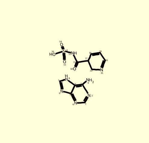 Nc1ncnc2nc[nH]c12.O=C(NS(=O)(=O)O)C1C=CC=NC1